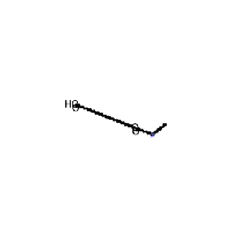 CCCCCCCC/C=C\CCCCCCCC(=O)OCCCCCCCCCCCCCCCCCCCCCCCCCCCCCCC(=O)O